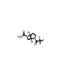 O=C(O)N1C[C@@H]2[C@H]1CCN2C(=O)C(F)(F)F